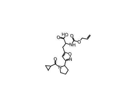 C=CCOC(=O)NC(Cc1cc(C2CCCN2C(=O)C2CC2)no1)C(=O)O